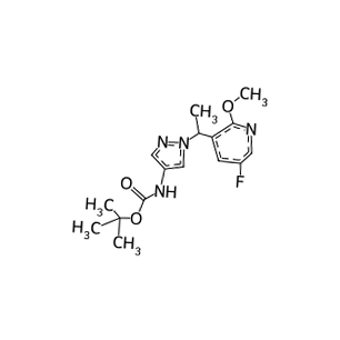 COc1ncc(F)cc1C(C)n1cc(NC(=O)OC(C)(C)C)cn1